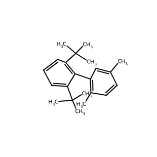 Cc1ccc(C)c(-c2c(C(C)(C)C)cccc2C(C)(C)C)c1